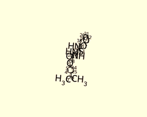 CC(C)c1ccc(OCC(=O)NNC(=S)NC(=O)Cc2ccco2)cc1